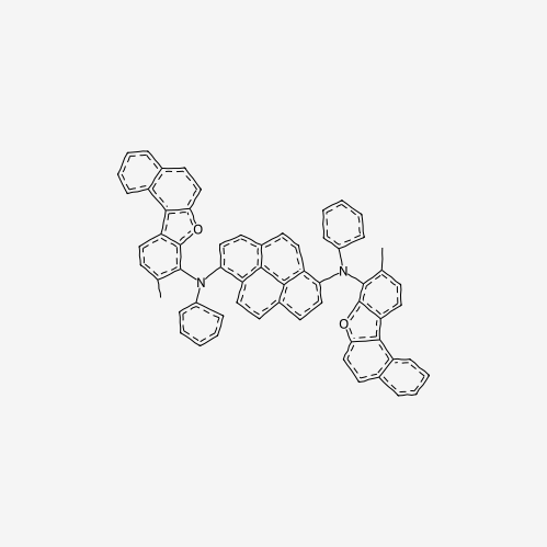 Cc1ccc2c(oc3ccc4ccccc4c32)c1N(c1ccccc1)c1ccc2ccc3c(N(c4ccccc4)c4c(C)ccc5c4oc4ccc6ccccc6c45)ccc4ccc1c2c43